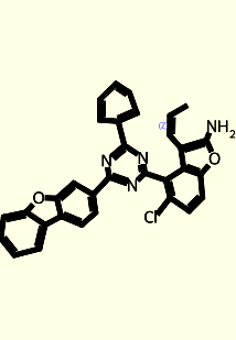 C/C=C\c1c(N)oc2ccc(Cl)c(-c3nc(-c4ccccc4)nc(-c4ccc5c(c4)oc4ccccc45)n3)c12